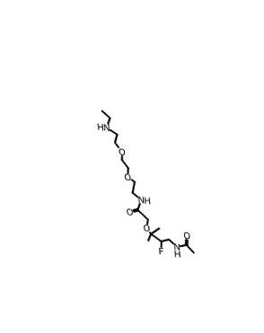 CCNCCOCCOCCNC(=O)COC(C)(C)C(F)CNC(C)=O